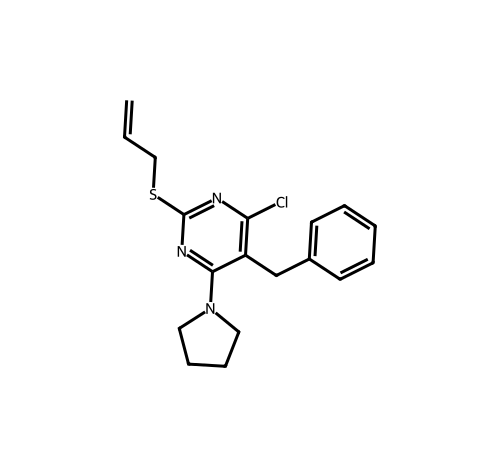 C=CCSc1nc(Cl)c(Cc2ccccc2)c(N2CCCC2)n1